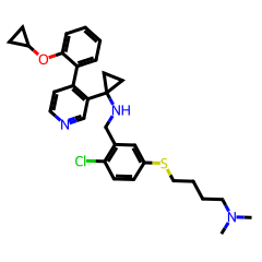 CN(C)CCCCSc1ccc(Cl)c(CNC2(c3cnccc3-c3ccccc3OC3CC3)CC2)c1